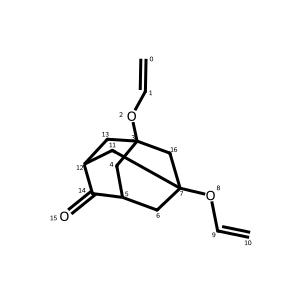 C=COC12CC3CC(OC=C)(CC(C1)C3=O)C2